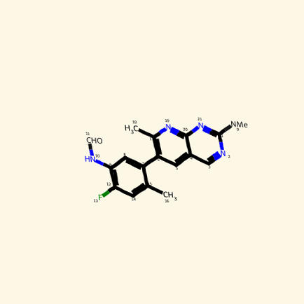 CNc1ncc2cc(-c3cc(NC=O)c(F)cc3C)c(C)nc2n1